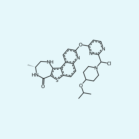 CC(C)OC1CCN(C(Cl)c2nccc(Oc3ccc4c(ccc5sc6c(c54)NC[C@@H](C)NC6=O)n3)n2)CC1